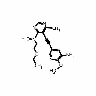 CCOCCN(C)c1ncnc(C)c1C#Cc1cnc(OC)c(N)c1